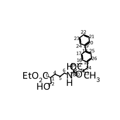 CCOC(=O)[C@H](CO)CCCNC(=O)OC(C)(C)Cc1ccc(-c2ccccc2)cc1